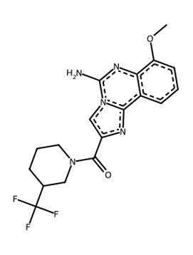 COc1cccc2c1nc(N)n1cc(C(=O)N3CCCC(C(F)(F)F)C3)nc21